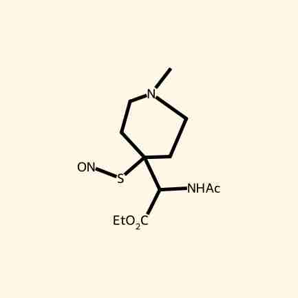 CCOC(=O)C(NC(C)=O)C1(SN=O)CCN(C)CC1